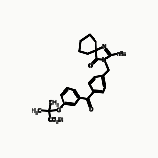 CCCCC1=NC2(CCCCC2)C(=O)N1Cc1ccc(C(=O)c2cccc(OC(C)(C)C(=O)OCC)c2)cc1